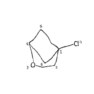 ClC12COC(C1)C2